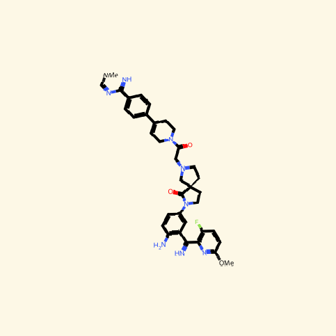 CN/C=N\C(=N)c1ccc(C2=CCN(C(=O)CN3CC[C@]4(CCN(c5ccc(N)c(C(=N)c6nc(OC)ccc6F)c5)C4=O)C3)CC2)cc1